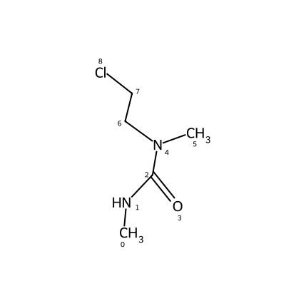 CNC(=O)N(C)CCCl